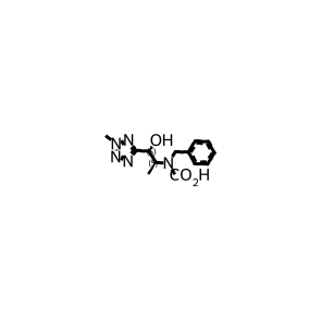 C[C@@H]([C@H](O)c1nnn(C)n1)N(Cc1ccccc1)C(=O)O